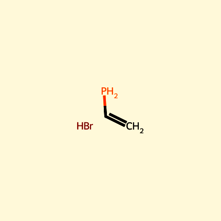 Br.C=CP